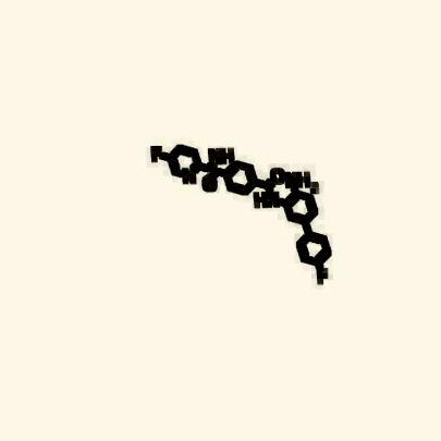 N=S(=O)(c1ccc(C(=O)Nc2cc(-c3ccc(F)cc3)ccc2N)cc1)c1ccc(F)cn1